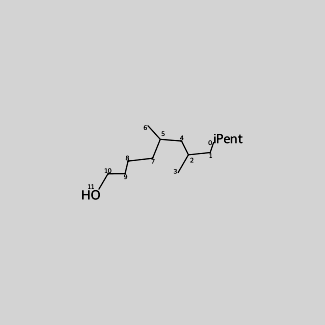 CCCC(C)CC(C)CC(C)CCCCO